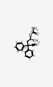 C[C@@H](CC(C#N)(c1ccccc1)c1ccccc1)OC(N)=O